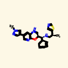 C[C@@H](CN[C@H](c1ccccc1)[C@@H]1CNc2cc(-c3cnn(C)c3)cnc2O1)c1cncs1